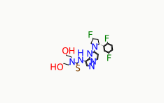 OCCN(CCO)C(=S)Nc1cnn2ccc(N3C[C@@H](F)C[C@@H]3c3cc(F)ccc3F)nc12